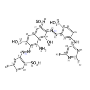 Nc1c(/N=N/c2cc(F)ccc2S(=O)(=O)O)c(S(=O)(=O)O)cc2cc(S(=O)(=O)O)c(/N=N/c3cc(Nc4cc(F)nc(F)n4)ccc3S(=O)(=O)O)c(O)c12